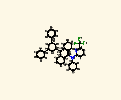 FC(F)(F)c1cccc(N(c2ccccc2)c2c3ccccc3c(-c3cc(-c4ccccc4)cc(-c4ccccc4)c3)c3ccccc23)n1